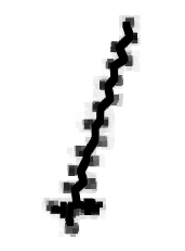 CCCCCCCCCCCCCCCCCC(Br)N(C)C